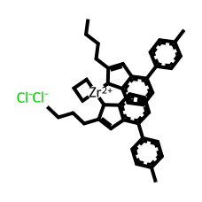 CCCCC1=Cc2c(-c3ccc(C)cc3)cccc2[CH]1[Zr+2]1([CH]2C(CCCC)=Cc3c(-c4ccc(C)cc4)cccc32)[CH2]C[CH2]1.[Cl-].[Cl-]